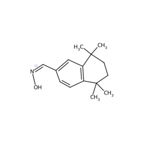 CC1(C)CCC(C)(C)c2cc(/C=N\O)ccc21